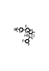 CC[C@H](Nc1c(Cl)c(C)nc2cc(F)c(-c3ccc(P(C)(C)=O)nc3)nc12)c1cc(F)cc(F)c1